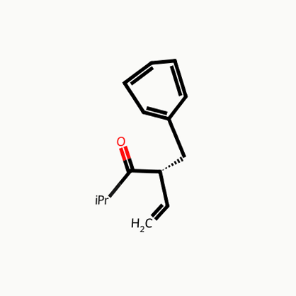 C=C[C@@H](Cc1ccccc1)C(=O)C(C)C